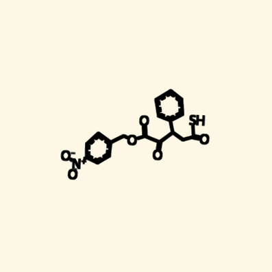 O=C(S)CC(C(=O)C(=O)OCc1ccc([N+](=O)[O-])cc1)c1ccccc1